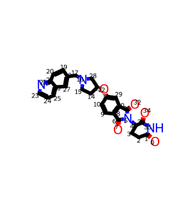 O=C1CCC(N2C(=O)c3ccc(O[C@@H]4CCN(Cc5ccc6ncccc6c5)C4)cc3C2=O)C(=O)N1